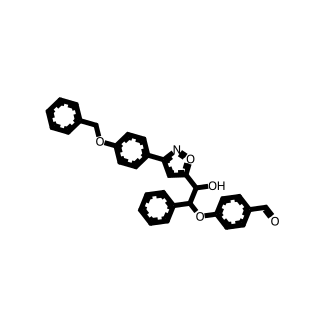 O=Cc1ccc(OC(c2ccccc2)C(O)c2cc(-c3ccc(OCc4ccccc4)cc3)no2)cc1